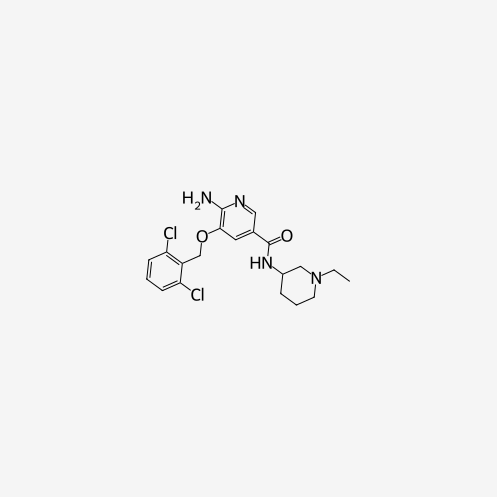 CCN1CCCC(NC(=O)c2cnc(N)c(OCc3c(Cl)cccc3Cl)c2)C1